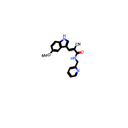 COc1ccc2[nH]cc(/C=C(\C#N)C(=O)NCc3ccccn3)c2c1